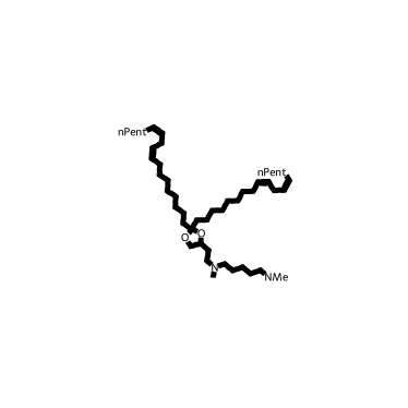 CCCCC/C=C\C/C=C\CCCCCCCCC1(CCCCCCCC/C=C\C/C=C\CCCCC)OCC(CCN(C)CCCCCNC)O1